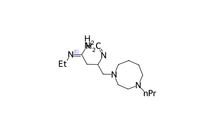 C=NC(C/C(N)=N\CC)CN1CCCCN(CCC)CC1